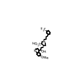 COc1ccc2nccc([C@@H](O)CC[C@@H]3CCN(CCCCc4cccc(C(F)(F)F)c4)C[C@@H]3C(=O)O)c2c1